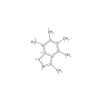 Cc1c(C)c(C)c2c(C)nsc2c1C